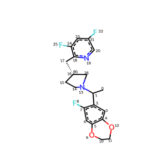 CC(c1cc2c(cc1F)OCCO2)N1CC[C@H](Cc2ncc(F)cc2F)C1